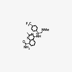 CNC[C@@H](Nc1nc(C)nc2c(C(N)=O)cccc12)c1ccc(C(F)(F)F)cc1